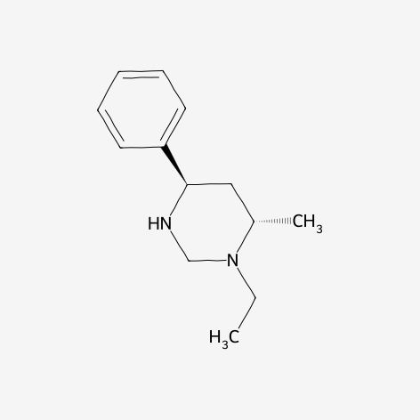 CCN1CN[C@@H](c2ccccc2)C[C@@H]1C